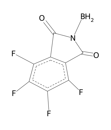 BN1C(=O)c2c(F)c(F)c(F)c(F)c2C1=O